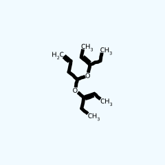 C=CCC(OC(=CC)CC)OC(=CC)CC